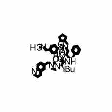 CC[C@H](C)[C@@H](C(=O)N[C@@H](Cc1ccccc1)[C@H](O)CN(CC1CCCC1)S(=O)(=O)c1ccc(/C=N/O)cc1)N1CCN(Cc2ccc3ncccc3c2)C1=O